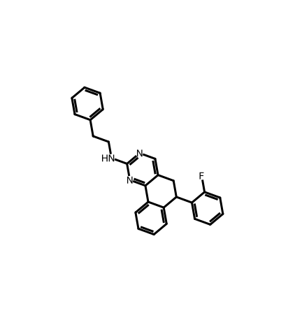 Fc1ccccc1C1Cc2cnc(NCCc3ccccc3)nc2-c2ccccc21